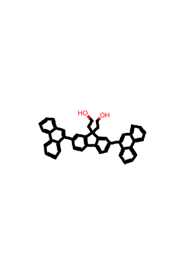 OCCC1(CCO)c2cc(-c3cc4ccccc4c4ccccc34)ccc2-c2ccc(-c3cc4ccccc4c4ccccc34)cc21